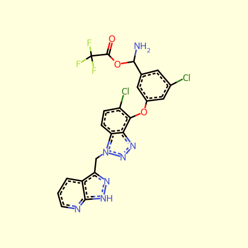 NC(OC(=O)C(F)(F)F)c1cc(Cl)cc(Oc2c(Cl)ccc3c2nnn3Cc2n[nH]c3ncccc23)c1